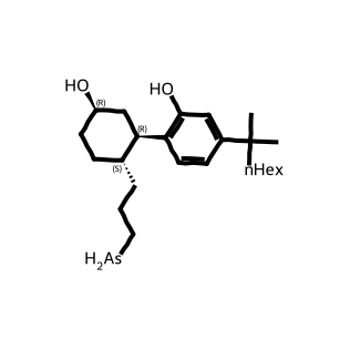 CCCCCCC(C)(C)c1ccc([C@@H]2C[C@H](O)CC[C@H]2CCC[AsH2])c(O)c1